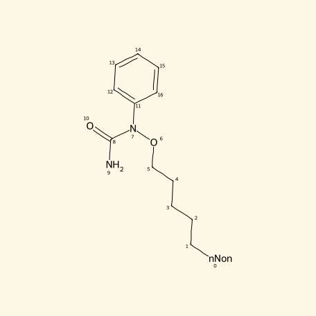 CCCCCCCCCCCCCCON(C(N)=O)c1ccccc1